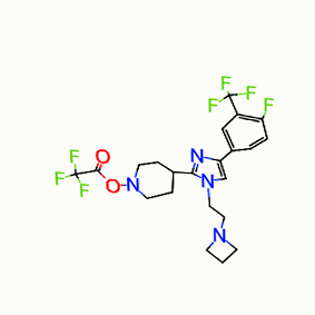 O=C(ON1CCC(c2nc(-c3ccc(F)c(C(F)(F)F)c3)cn2CCN2CCC2)CC1)C(F)(F)F